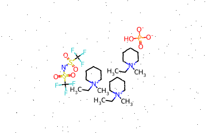 CC[N+]1(C)CCCCC1.CC[N+]1(C)CCCCC1.CC[N+]1(C)CCCCC1.O=P([O-])([O-])O.O=S(=O)([N-]S(=O)(=O)C(F)(F)F)C(F)(F)F